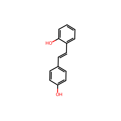 Oc1ccc(C=Cc2ccccc2O)cc1